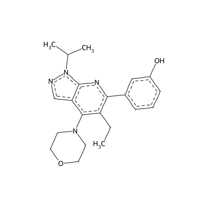 CCc1c(-c2cccc(O)c2)nc2c(cnn2C(C)C)c1N1CCOCC1